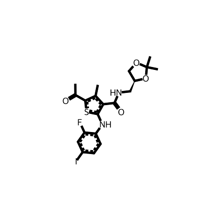 CC(=O)c1sc(Nc2ccc(I)cc2F)c(C(=O)NC[C@H]2COC(C)(C)O2)c1C